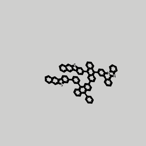 c1ccc(-c2c3ccccc3c(-c3cccc(-c4ccc5c(c4)sc4cc6ccccc6cc45)c3)c3cc(-c4ccc5c(-c6ccc7c(c6)c6ccccc6c6nc8ccccc8n76)c6ccccc6c(-c6ccc7c(c6)sc6cc8ccccc8cc67)c5c4)ccc23)cc1